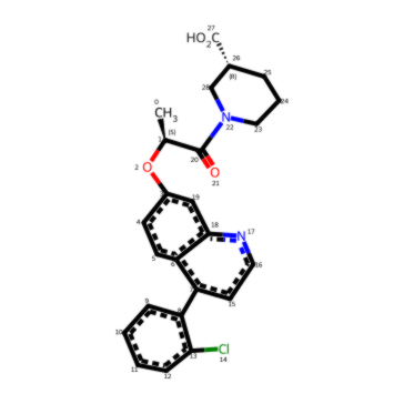 C[C@H](Oc1ccc2c(-c3ccccc3Cl)ccnc2c1)C(=O)N1CCC[C@@H](C(=O)O)C1